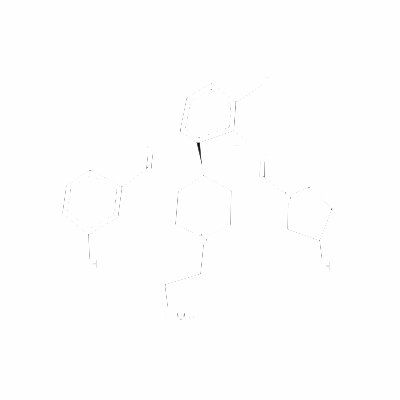 COCCN1C[C@H](C(=O)c2cccc(O)c2)[C@@H](c2cccc(F)c2C)[C@H](C(=O)N2CCC(O)C2)C1